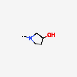 [CH2]N1CCC(O)C1